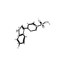 CS(=O)(=O)N1CCC(c2c[nH]c3cc(F)ccc23)CC1